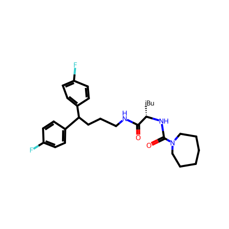 CCC(C)[C@H](NC(=O)N1CCCCCC1)C(=O)NCCCC(c1ccc(F)cc1)c1ccc(F)cc1